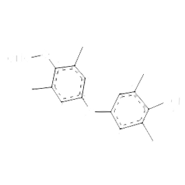 Cc1cc(Sc2cc(C)c(OC=O)c(C)c2)cc(C)c1O